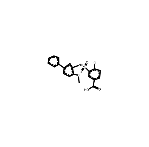 COc1ccc(-c2ccccc2)cc1NS(=O)(=O)c1cc(C(=O)O)ccc1Cl